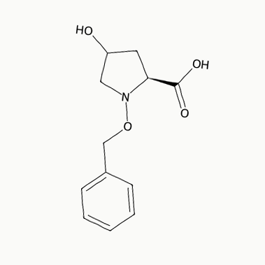 O=C(O)[C@@H]1CC(O)CN1OCc1ccccc1